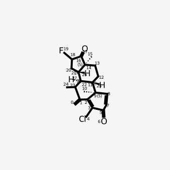 C=C1C2=C(Cl)C(=O)C=C[C@]2(C)[C@H]2CC[C@]3(C)C(=O)C(F)C[C@H]3[C@@H]2C1C